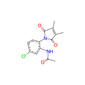 CC(=O)Nc1cc(Cl)ccc1N1C(=O)C(C)=C(C)C1=O